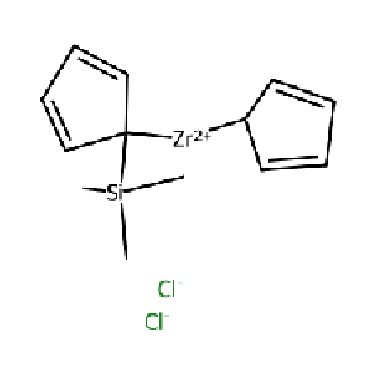 C[Si](C)(C)[C]1([Zr+2][CH]2C=CC=C2)C=CC=C1.[Cl-].[Cl-]